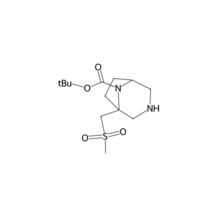 CC(C)(C)OC(=O)N1C2CCC1(CS(C)(=O)=O)CNC2